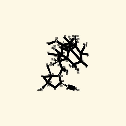 [2H]C1([2H])C2([2H])C([2H])(C)C3(C)C([2H])([2H])C1([C@]([2H])(NC)C(=O)N1[C@H](C#N)C[C@@H]4C[C@@]41C)C([2H])([2H])C(OC)(C2([2H])C)C3([2H])C